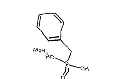 O=P(O)(O)Cc1ccccc1.[MgH2]